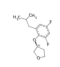 CC(C)Cc1cc(F)cc(F)c1O[C@H]1CCOC1